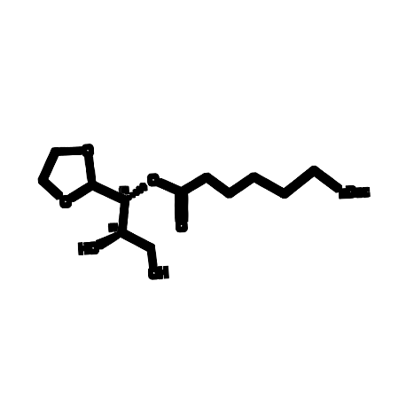 CCCCCCCCCCCCCCCC(=O)O[C@@H](C1OCCO1)[C@H](O)CO